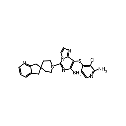 Bc1nc(N2CCC3(CC2)Cc2cccnc2C3)n2ccnc2c1Sc1ccnc(N)c1Cl